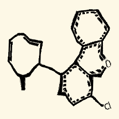 CC1C=CC=CC1c1ccc(Cl)c2oc3ccccc3c12